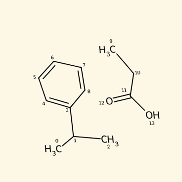 CC(C)c1ccccc1.CCC(=O)O